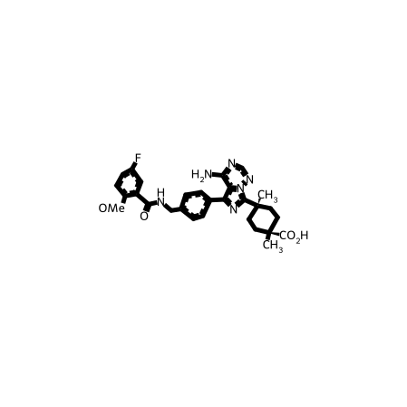 COc1ccc(F)cc1C(=O)NCc1ccc(-c2nc([C@]3(C)CC[C@](C)(C(=O)O)CC3)n3ncnc(N)c23)cc1